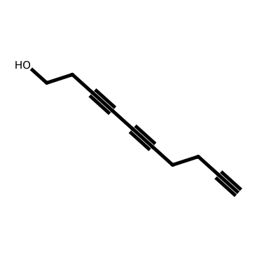 C#CCCC#CC#CCCO